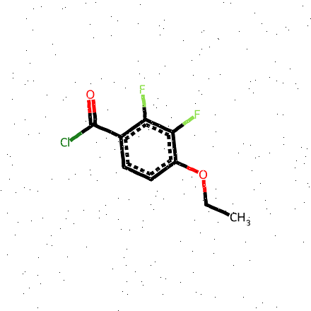 CCOc1ccc(C(=O)Cl)c(F)c1F